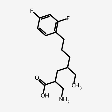 CCC(CCCc1ccc(F)cc1F)CC(CN)C(=O)O